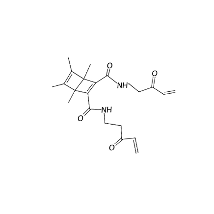 C=CC(=O)CCNC(=O)C1=C(C(=O)NCCC(=O)C=C)C2(C)C(C)=C(C)C12C